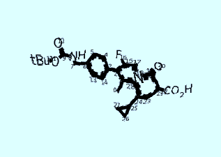 Cc1c(-c2ccc(CNC(=O)OC(C)(C)C)cc2)c(F)cn2c(=O)c(C(=O)O)cc(C3CC3)c12